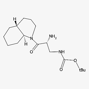 CC(C)(C)OC(=O)NC[C@@H](N)C(=O)N1CCC[C@H]2CCCC[C@@H]21